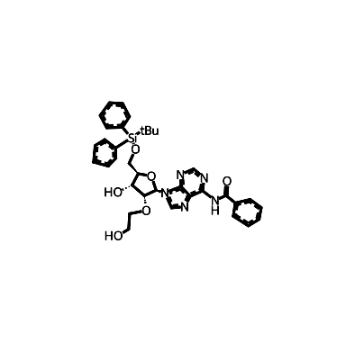 CC(C)(C)[Si](OC[C@H]1O[C@@H](n2cnc3c(NC(=O)c4ccccc4)ncnc32)[C@H](OCCO)[C@@H]1O)(c1ccccc1)c1ccccc1